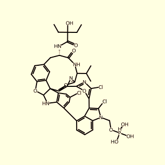 CCC(O)(CC)C(=O)N[C@H]1Cc2ccc3c(c2)C24c5cc(Cl)cc(c5NC2O3)-c2cccc3c2c(c(Cl)n3CO[PH](O)(O)O)-c2oc(nc2Cl)-c2nc(oc24)C(C(C)C)NC1=O